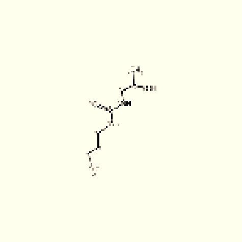 CC(O)CNC(=O)NCCCO